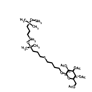 CC(=O)OCC1O[C@@H](OCCCCSCCC[Si](C)(C)O[SiH2]CCC[Si](C)(C)O[SiH3])[C@@H](OC(C)=O)C(OC(C)=O)[C@@H]1OC(C)=O